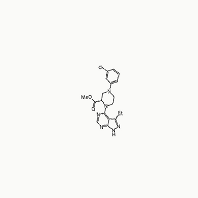 CCc1n[nH]c2ncnc(N3CCN(c4cccc(Cl)c4)CC3C(=O)OC)c12